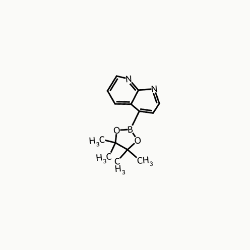 CC1(C)OB(c2ccnc3ncccc23)OC1(C)C